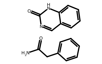 NC(=O)Cc1ccccc1.O=c1ncc2ccccc2[nH]1